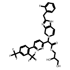 O=C(OCC(O)CO)C(c1ccc(-c2ccc(C(F)(F)F)cc2C(F)(F)F)nn1)N1C=Cc2[nH]c(Cc3ccccc3F)nc2C1